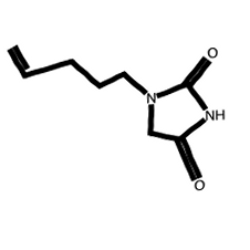 C=CCCCN1CC(=O)NC1=O